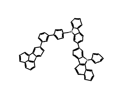 c1ccc(-n2c3cc(-c4ccc5c6ccccc6n(-c6ccc(-c7cccc(-c8ccc9c(c8)-c8cccc%10cccc-9c8%10)c7)cc6)c5c4)ccc3c3ccc4ccccc4c32)cc1